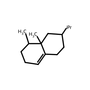 CC(C)C1CCC2=CCCC(C)C2(C)C1